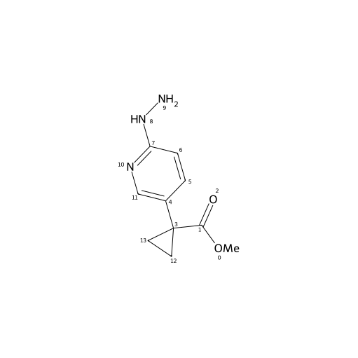 COC(=O)C1(c2ccc(NN)nc2)CC1